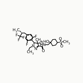 CCN1N=C(C(=O)NCC2(O)CCC(S(C)(=O)=O)CC2)C(C)(Cl)C1c1c(F)cc(C[C@H](C)C(F)(F)F)cc1F